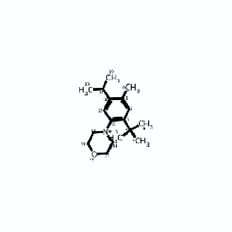 Cc1cc(C(C)(C)C)c(N2CCOCC2)cc1C(C)C